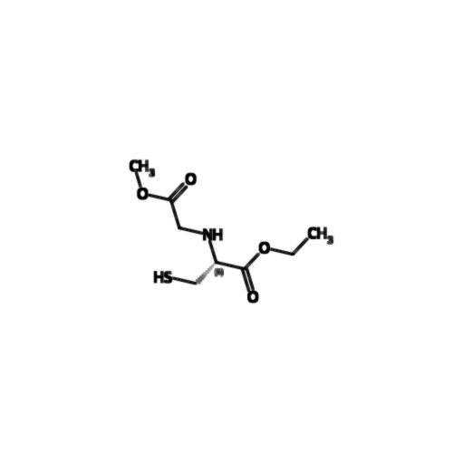 CCOC(=O)[C@H](CS)NCC(=O)OC